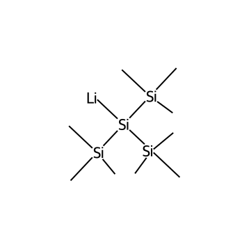 [Li][Si]([Si](C)(C)C)([Si](C)(C)C)[Si](C)(C)C